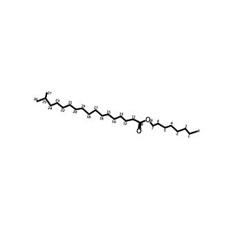 CCCCCCCCOC(=O)CCCCCCCCCCCCCCC(C)C